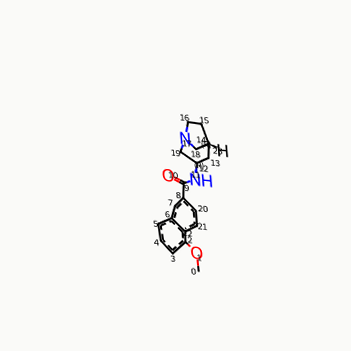 COc1cccc2cc(C(=O)N[C@@H]3C[C@H]4CCN(C4)C3)ccc12